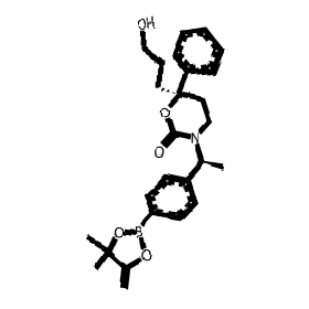 C=C1OB(c2ccc([C@H](C)N3CC[C@](CCCO)(c4ccccc4)OC3=O)cc2)OC1(C)C